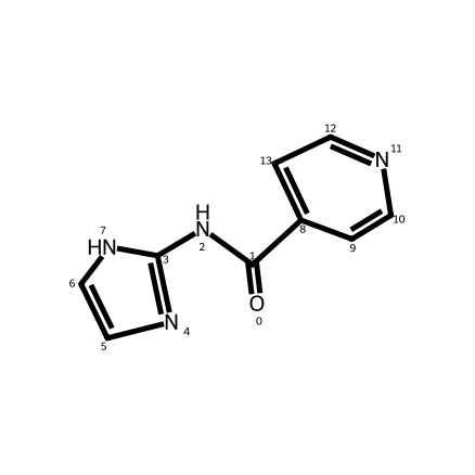 O=C(Nc1ncc[nH]1)c1ccncc1